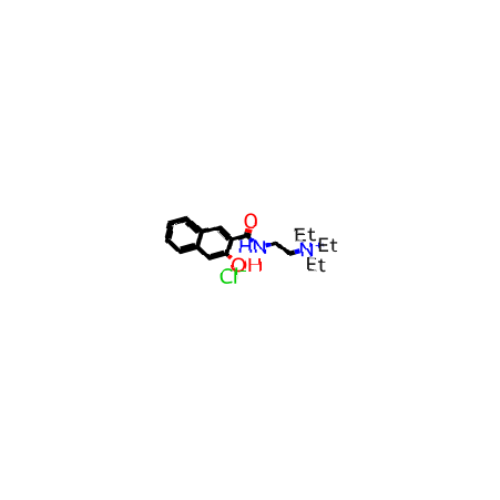 CC[N+](CC)(CC)CCNC(=O)c1cc2ccccc2cc1O.[Cl-]